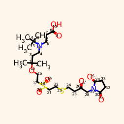 CC(C)(CCN(CCC(=O)O)C(C)(C)C)OCCS(=O)(=O)CCSCCC(=O)CN1C(=O)CCC1=O